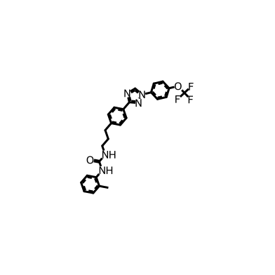 Cc1ccccc1NC(=O)NCCCc1ccc(-c2ncn(-c3ccc(OC(F)(F)F)cc3)n2)cc1